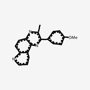 COc1ccc(-c2nc3c(ccc4ncccc43)nc2C)cc1